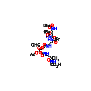 CC(=O)COCC(OCC(=O)NCCCCC(C)C(=O)NCC(=O)O)C(COCC(=O)NCCCCC(NC(=O)C(CCCCNC(=O)OC(C)(C)C)NC(=O)OC(C)(C)C)C(=O)C(C)C)OCC=O